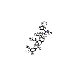 CCO/N=C(\C(=O)NC1C(=O)N2C(C(=O)O)=C(CNC(=O)c3cc(O)c(O)c(Br)c3)CS[C@@H]12)c1csc(N)n1